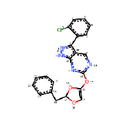 Clc1ccccc1-c1n[nH]c2nc(OC3=COC(Cc4ccccc4)O3)ncc12